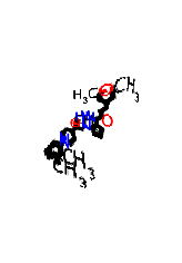 COC(CNC1=C(C(=N)C(=O)CCC2C[C@@H](C)O[C@@H](C)C2)CCC1)C1CCN(c2cccc(C)c2C)CC1